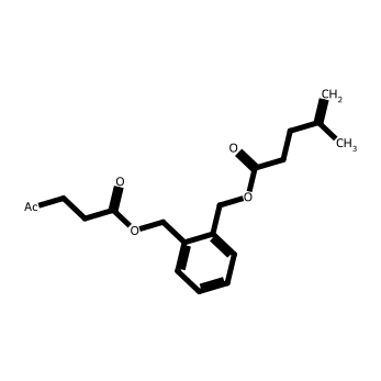 C=C(C)CCC(=O)OCc1ccccc1COC(=O)CCC(C)=O